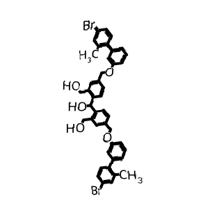 Cc1cc(Br)ccc1-c1cccc(OCc2ccc(C(O)c3ccc(COc4cccc(-c5ccc(Br)cc5C)c4)cc3CO)c(CO)c2)c1